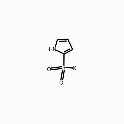 O=[S](=O)([K])c1ccc[nH]1